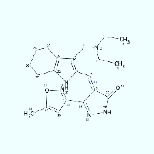 CCN(CC)Cc1c(/C=C2/C(=O)NN=C2c2cc(C)on2)[nH]c2c1CCCC2